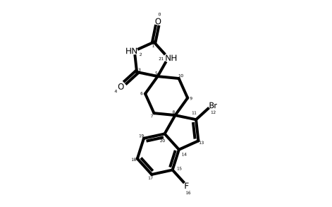 O=C1NC(=O)C2(CCC3(CC2)C(Br)=Cc2c(F)cccc23)N1